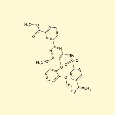 C=C(C)c1ccc(S(=O)(=O)Nc2nc(-c3ccnc(C(=O)OC)c3)nc(OC)c2Oc2ccccc2OC)nc1